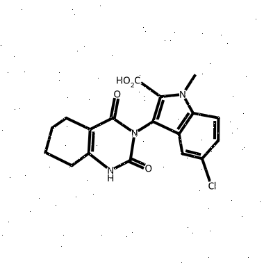 Cn1c(C(=O)O)c(-n2c(=O)[nH]c3c(c2=O)CCCC3)c2cc(Cl)ccc21